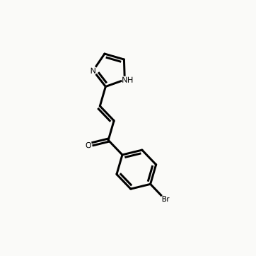 O=C(C=Cc1ncc[nH]1)c1ccc(Br)cc1